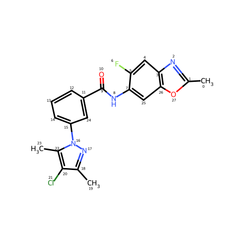 Cc1nc2cc(F)c(NC(=O)c3cccc(-n4nc(C)c(Cl)c4C)c3)cc2o1